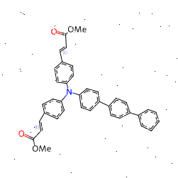 COC(=O)/C=C/c1ccc(N(c2ccc(/C=C/C(=O)OC)cc2)c2ccc(-c3ccc(-c4ccccc4)cc3)cc2)cc1